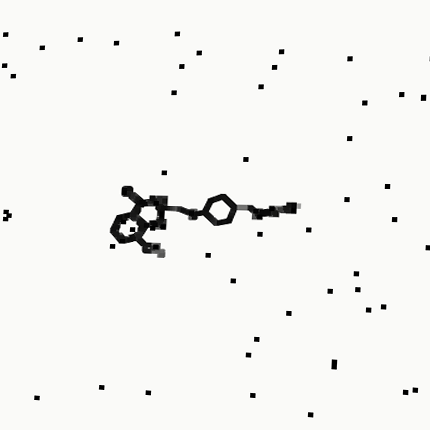 Cc1cccc2c(=O)[nH]c(CSC3CCC(CN=[N+]=[N-])CC3)nc12